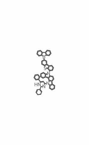 C1=CC(C2N=C(n3c4ccccc4c4ccc5c(c6ccccc6n5-c5cccc6c5sc5ccc(B7c8ccccc8-c8ccccc87)cc56)c43)C=C(c3ccccc3)N2)=CCC1